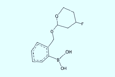 OB(O)c1ccccc1COC1CC(F)CCO1